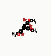 COc1ccc(C23CC4CC(c5ccc(OC)c(Br)c5)(C2)CC(c2ccc(OC)c(Br)c2)(C4)C3)cc1Br